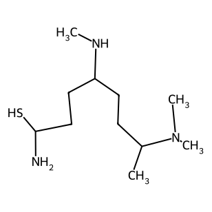 CNC(CCC(N)S)CCC(C)N(C)C